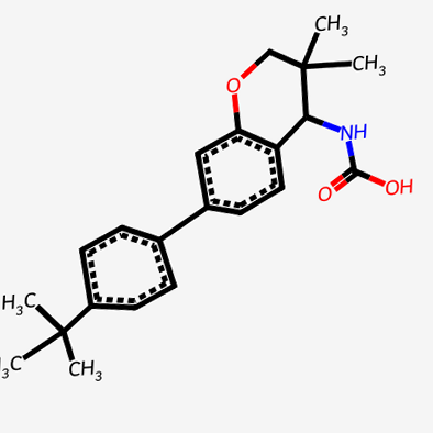 CC(C)(C)c1ccc(-c2ccc3c(c2)OCC(C)(C)C3NC(=O)O)cc1